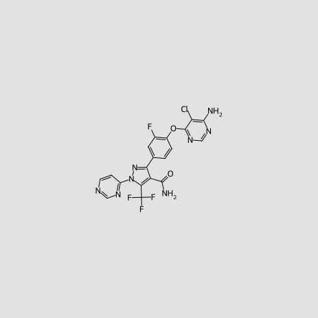 NC(=O)c1c(-c2ccc(Oc3ncnc(N)c3Cl)c(F)c2)nn(-c2ccncn2)c1C(F)(F)F